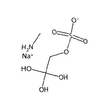 CN.O=S(=O)([O-])OCC(O)(O)O.[Na+]